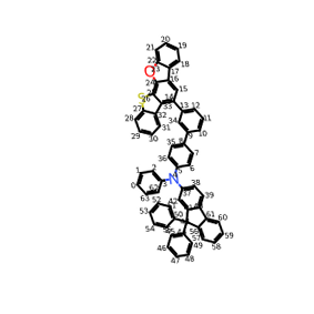 c1ccc(N(c2ccc(-c3cccc(-c4cc5c6ccccc6oc5c5sc6ccccc6c45)c3)cc2)c2ccc3c(c2)C(c2ccccc2)(c2ccccc2)c2ccccc2-3)cc1